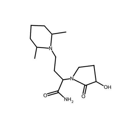 CC1CCCC(C)N1CCC(C(N)=O)N1CCC(O)C1=O